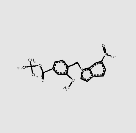 COc1cc(C(=O)OC(C)(C)C)ccc1Cn1ccc2ccc([N+](=O)[O-])cc21